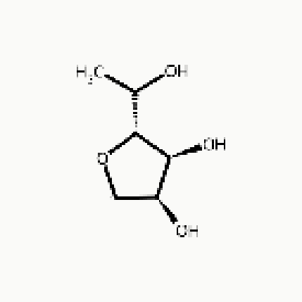 CC(O)[C@H]1O[CH][C@H](O)[C@@H]1O